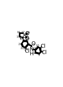 O=C(Nc1ccc(Cl)c(Cl)c1)c1cc(N2CCCS2(=O)=O)ccc1Cl